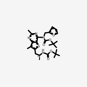 Cc1nc(N(Cc2ccco2)C(=O)OC(C)(C)C)c2sc(C[C@H](C)NC(=O)OC(C)(C)C)c(C)c2n1